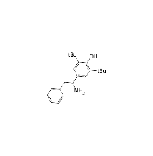 CC(C)(C)c1cc(C(N)Cc2ccccc2)cc(C(C)(C)C)c1O